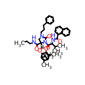 CCCNC(=O)C1(B2Oc3c(C)c4c(C)c(c3O2)C4C)CN(CCCc2ccccc2)C(=O)N1C(=O)[C@@H](NC(=O)c1cccc2ccccc12)C(C)C